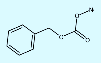 [N]OC(=O)OCc1ccccc1